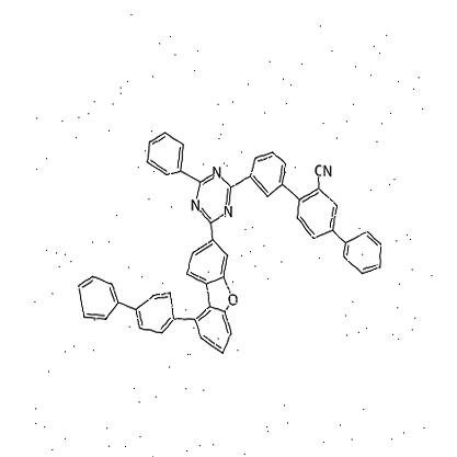 N#Cc1cc(-c2ccccc2)ccc1-c1cccc(-c2nc(-c3ccccc3)nc(-c3ccc4c(c3)oc3cccc(-c5ccc(-c6ccccc6)cc5)c34)n2)c1